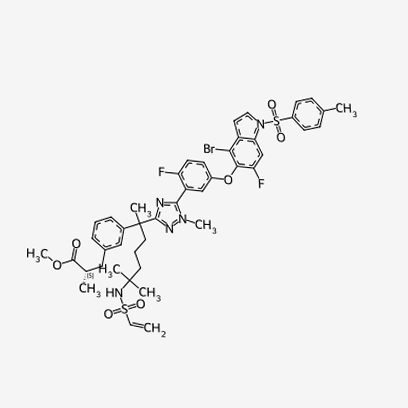 C=CS(=O)(=O)NC(C)(C)CCCC(C)(c1cccc(C[C@H](C)C(=O)OC)c1)c1nc(-c2cc(Oc3c(F)cc4c(ccn4S(=O)(=O)c4ccc(C)cc4)c3Br)ccc2F)n(C)n1